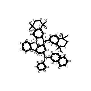 CC1(C)CCC(C)(C)c2cc(N3c4cc5c(cc4B4c6ccccc6-c6cc(N(c7ccccc7)c7ccc8ccccc8c7)cc3c64)C(C)(C)CCC5(C)C)ccc21